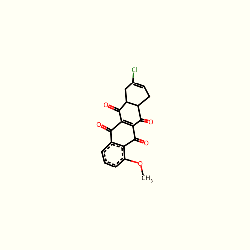 COc1cccc2c1C(=O)C1=C(C2=O)C(=O)C2CC(Cl)=CCC2C1=O